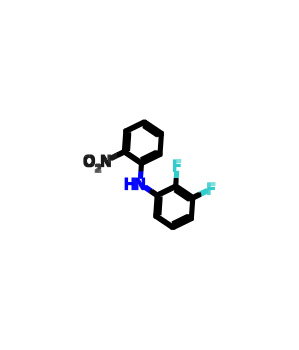 O=[N+]([O-])c1ccccc1Nc1cccc(F)c1F